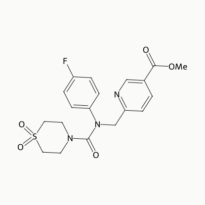 COC(=O)c1ccc(CN(C(=O)N2CCS(=O)(=O)CC2)c2ccc(F)cc2)nc1